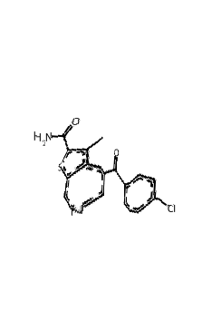 Cc1c(C(N)=O)sc2cncc(C(=O)c3ccc(Cl)cc3)c12